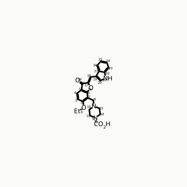 CCOc1ccc2c(c1CN1CCN(C(=O)O)CC1)OC(=Cc1c[nH]c3ccccc13)C2=O